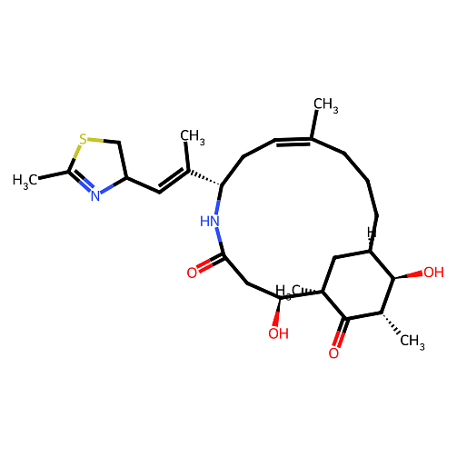 CC1=NC(/C=C(\C)[C@@H]2C/C=C(/C)CCC[C@@H]3C[C@@](C)(C(=O)[C@@H](C)[C@@H]3O)[C@@H](O)CC(=O)N2)CS1